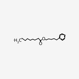 [CH2]CCCCCCCC(=O)OCCCCCc1ccccc1